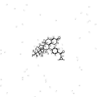 C[C@]12C[C@H](c3ccc(C(=O)C4CC4)cc3)C3=C4CCC(=O)C=C4CC[C@H]3[C@@H]1CC[C@@]2(O)C(F)(F)C(F)(F)F